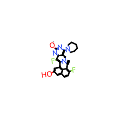 C#Cc1c(F)ccc2cc(O)cc(-c3ncc4c(N5CCCCCC5)nc(OC)nc4c3F)c12